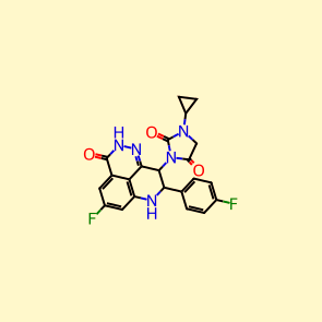 O=C1CN(C2CC2)C(=O)N1C1c2n[nH]c(=O)c3cc(F)cc(c23)NC1c1ccc(F)cc1